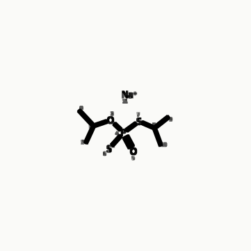 CC(C)OP(=O)([S-])SC(C)C.[Na+]